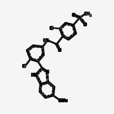 COc1ccc2[nH]c(-c3cc(NC(=O)c4ccc(S(C)(=O)=O)cc4Cl)ccc3Cl)nc2c1